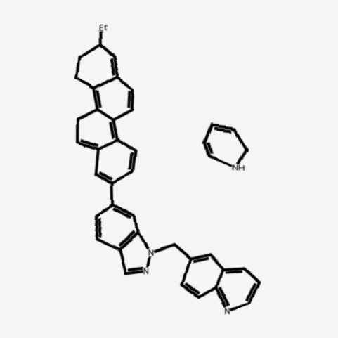 C1=CCNC=C1.CCC1C=c2ccc3c(c2CC1)CC=c1cc(-c2ccc4cnn(Cc5ccc6ncccc6c5)c4c2)ccc1=3